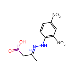 C/C(C[PH](=O)O)=N\Nc1ccc([N+](=O)[O-])cc1[N+](=O)[O-]